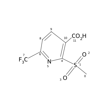 CS(=O)(=O)c1nc(C(F)(F)F)ccc1C(=O)O